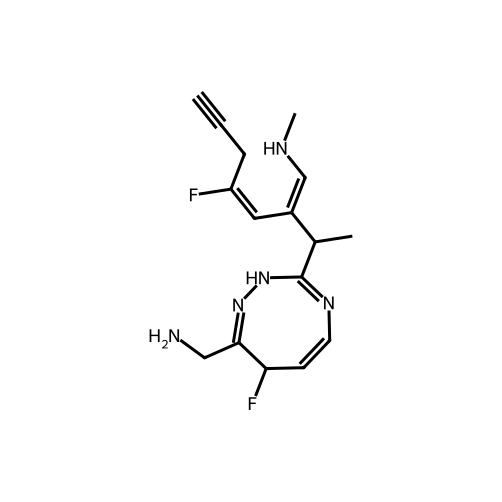 C#CC/C(F)=C\C(=C/NC)C(C)/C1=N/C=C\C(F)C(CN)=NN1